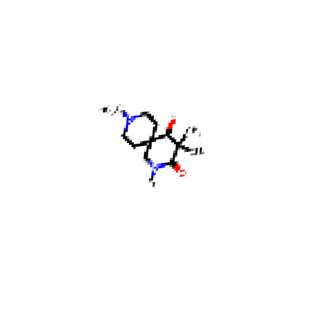 CCN1CC2(CCN(C(=O)O)CC2)C(=O)C(C)(C)C1=O